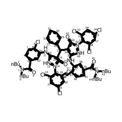 CCCCN(CCCC)C(=O)c1ccc(Cl)c(Nc2[nH]n(-c3c(Cl)cc(Cl)cc3Cl)c(=O)c2C(c2ccccc2)c2c(Nc3cc(C(=O)N(CCCC)CCCC)ccc3Cl)[nH]n(-c3c(Cl)cc(Cl)cc3Cl)c2=O)c1